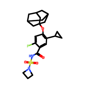 O=C(NS(=O)(=O)N1CCC1)c1cc(C2CC2)c(OC23CC4CC(CC(C4)C2)C3)cc1F